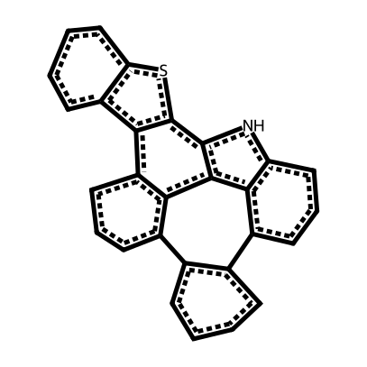 c1ccc2c(c1)-c1cccc3[nH]c4c5sc6ccccc6c5c5cccc-2c5c4c13